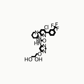 O=C(Nc1cc(OC[C@@H](O)CO)ncn1)N1c2nc(-c3cccc(C(F)(F)F)c3)c(Cl)cc2N2CCC[C@H]1C2